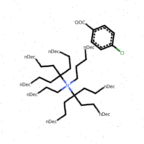 CCCCCCCCCCCCC[N+](CCCCCCCCCCCC)(C(CCCCCCCCCCCC)(CCCCCCCCCCCC)CCCCCCCCCCCC)C(CCCCCCCCCCCC)(CCCCCCCCCCCC)CCCCCCCCCCCC.O=C([O-])c1ccc(Cl)cc1